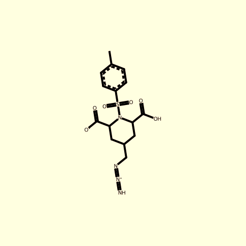 Cc1ccc(S(=O)(=O)N2C(C(=O)[O-])CC(CN=[N+]=N)CC2C(=O)O)cc1